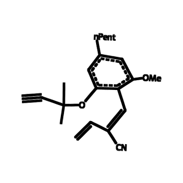 C#CC(C)(C)Oc1cc(CCCCC)cc(OC)c1C=C(C#N)C=C